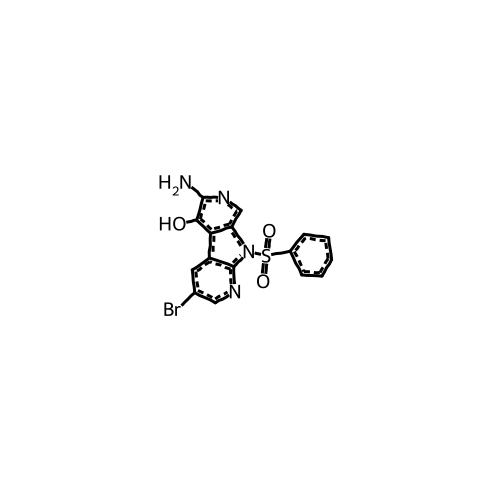 Nc1ncc2c(c1O)c1cc(Br)cnc1n2S(=O)(=O)c1ccccc1